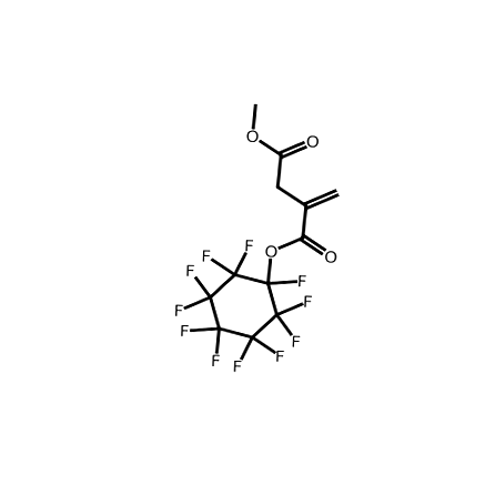 C=C(CC(=O)OC)C(=O)OC1(F)C(F)(F)C(F)(F)C(F)(F)C(F)(F)C1(F)F